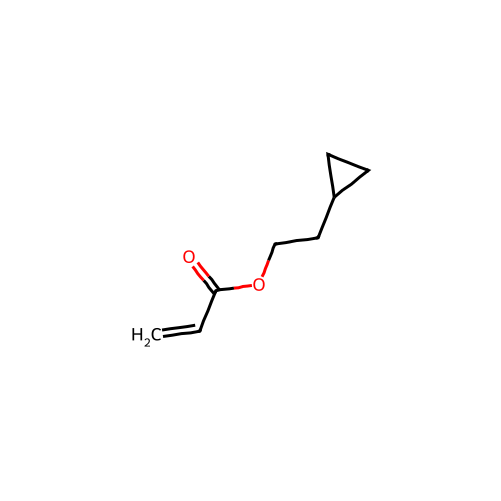 C=CC(=O)OCCC1CC1